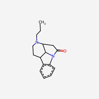 CCCN1CCC2c3ccccc3N3C(=O)CC1C23